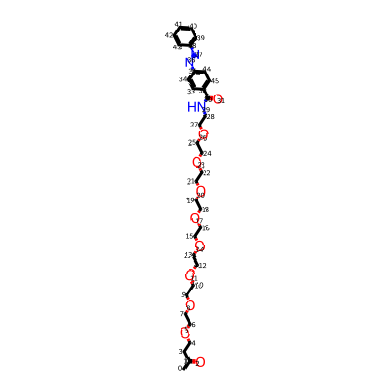 CC(=O)CCOCCOCCOCCOCCOCCOCCOCCOCCNC(=O)c1ccc(/N=N/c2ccccc2)cc1